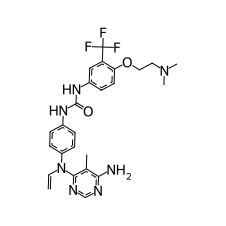 C=CN(c1ccc(NC(=O)Nc2ccc(OCCN(C)C)c(C(F)(F)F)c2)cc1)c1ncnc(N)c1C